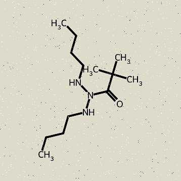 CCCCNN(NCCCC)C(=O)C(C)(C)C